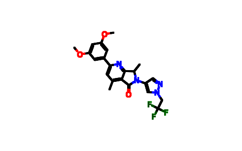 COc1cc(OC)cc(-c2cc(C)c3c(n2)C(C)N(c2cnn(CC(F)(F)F)c2)C3=O)c1